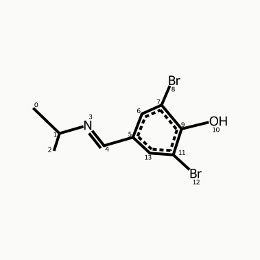 CC(C)/N=C/c1cc(Br)c(O)c(Br)c1